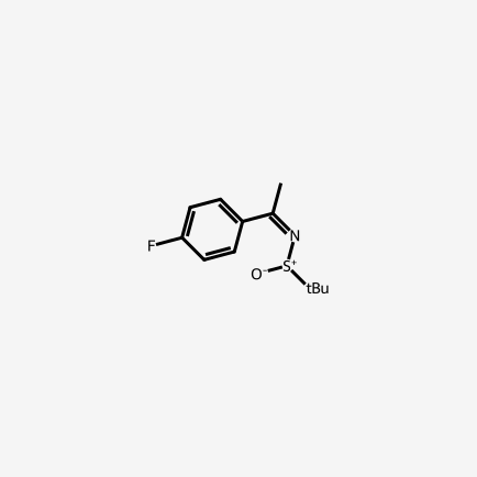 C/C(=N/[S+]([O-])C(C)(C)C)c1ccc(F)cc1